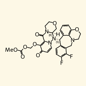 COC(=O)OCOc1c2n(ccc1=O)N([C@H]1c3ccc(F)c(F)c3CN3CCOc4cccc1c43)[C@@H]1COCCN1C2=O